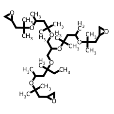 CCC(C)(CC(C)OC(C)(C)CC1CO1)OCC(COC(C)(C)CC(C)OC(C)(C)CC1CO1)OC(C)(C)CC(C)OC(C)(C)CC1CO1